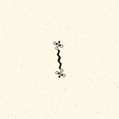 CS(=O)(=O)OCCC=CCCOS(C)(=O)=O